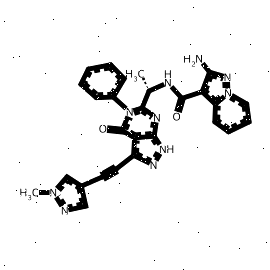 C[C@H](NC(=O)c1c(N)nn2ccccc12)c1nc2[nH]nc(C#Cc3cnn(C)c3)c2c(=O)n1-c1ccccc1